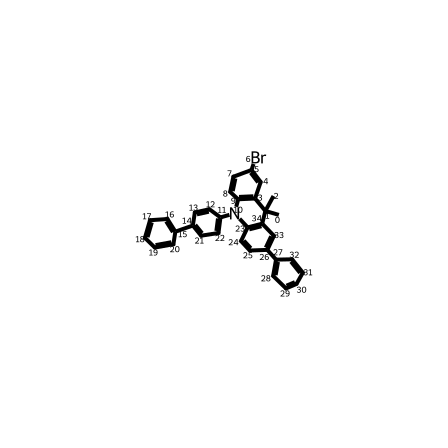 CC1(C)c2cc(Br)ccc2N(c2ccc(-c3ccccc3)cc2)c2ccc(-c3ccccc3)cc21